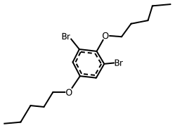 CCCCCOc1cc(Br)c(OCCCCC)c(Br)c1